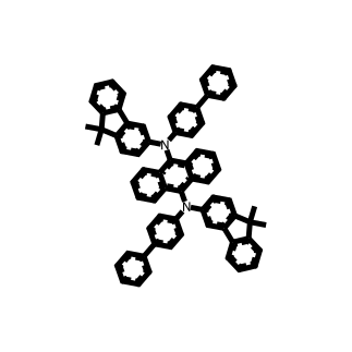 CC1(C)c2ccccc2-c2cc(N(c3ccc(-c4ccccc4)cc3)c3c4ccccc4c(N(c4ccc(-c5ccccc5)cc4)c4ccc5c(c4)-c4ccccc4C5(C)C)c4ccccc34)ccc21